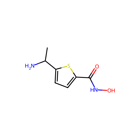 CC(N)c1ccc(C(=O)NO)s1